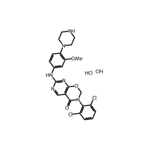 COc1cc(Nc2ncc3c(n2)OCN(c2c(Cl)cccc2Cl)C3=O)ccc1N1CCNCC1.Cl.Cl